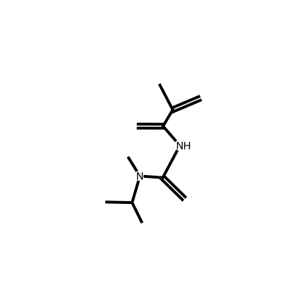 C=C(C)C(=C)NC(=C)N(C)C(C)C